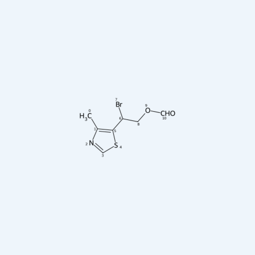 Cc1ncsc1C(Br)COC=O